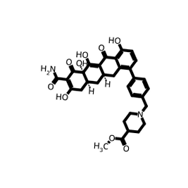 COC(=O)C1CCN(Cc2ccc(-c3ccc(O)c4c3C[C@H]3C[C@H]5CC(O)=C(C(N)=O)C(=O)[C@@]5(O)C(O)=C3C4=O)cc2)CC1